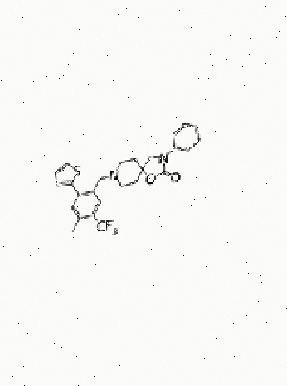 Cc1cc(-c2cccs2)c(CN2CCC3(CC2)CN(c2ccccc2)C(=O)O3)cc1C(F)(F)F